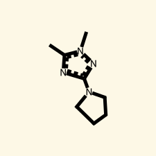 Cc1nc(N2CCCC2)nn1C